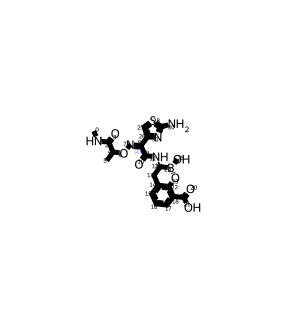 CNC(=O)C(C)O/N=C(\C(=O)N[C@H]1Cc2cccc(C(=O)O)c2OB1O)c1csc(N)n1